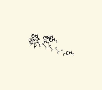 CCCCCCCCCCCC(F)(F)S(=O)(=O)O.CNC